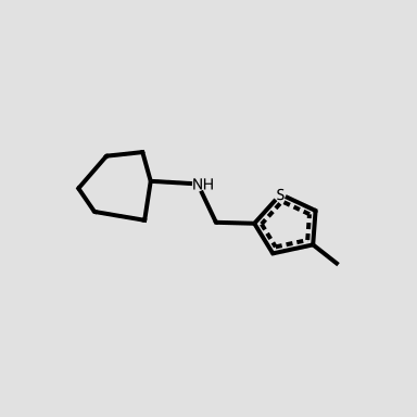 Cc1csc(CNC2CCCCC2)c1